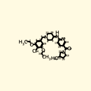 CCOc1cc(CN2CCC(Nc3ccc(C(=O)N4CCC(O)C4)cn3)CC2)cc(OCC)c1Cl